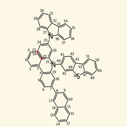 c1ccc(-c2ccc(-c3ccc4ccccc4c3)cc2N(c2cccc(-n3c4ccccc4c4ccccc43)c2)c2ccc3c(c2)sc2ccccc23)cc1